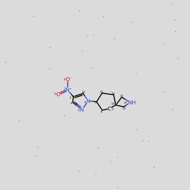 O=[N+]([O-])c1cnn(C2CCC3(CC2)CNC3)c1